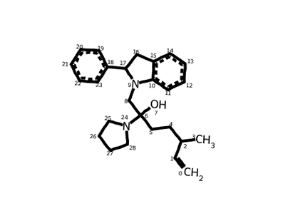 C=CC(C)CCC(O)(CN1c2ccccc2CC1c1ccccc1)N1CCCC1